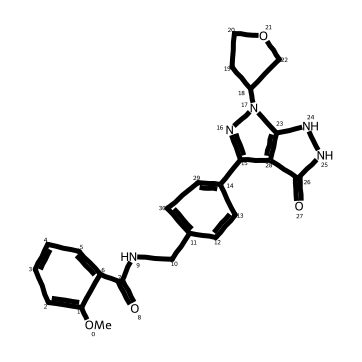 COc1ccccc1C(=O)NCc1ccc(-c2nn(C3CCOC3)c3[nH][nH]c(=O)c23)cc1